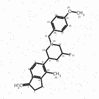 C=C1CCc2c1ccc(C1CC(F)CN(Cc3ccc(OC)cc3)C1)c2C